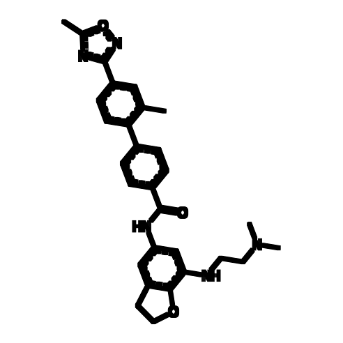 Cc1nc(-c2ccc(-c3ccc(C(=O)Nc4cc5c(c(NCCN(C)C)c4)OCC5)cc3)c(C)c2)no1